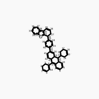 C1=CCCC(C2=C3C=CC=CC3C(C3CC=CCC3)C3C=C(c4ccc(C5CC=Cc6c5oc5ccccc65)cc4)C=CC23)=C1